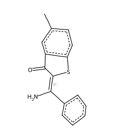 Cc1ccc2c(c1)C(=O)/C(=C(\N)c1ccccc1)S2